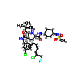 C=C(/C=C\C=C(\Cl)CF)[C@H]1[C@H](C(=O)N[C@H]2CC[C@H](NS(C)(=O)=O)CC2)N[C@H](CC(C)(C)C)[C@]12C(=O)Nc1cc(Cl)ccc12